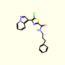 O=C(NCCCc1ccccc1)c1nc(-c2cnn3ccccc23)c(Cl)s1